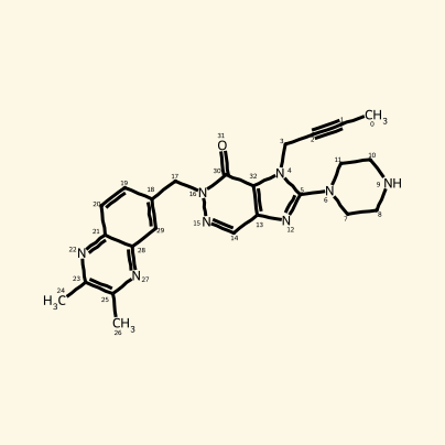 CC#CCn1c(N2CCNCC2)nc2cnn(Cc3ccc4nc(C)c(C)nc4c3)c(=O)c21